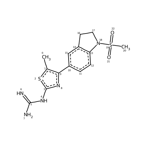 Cc1sc(NC(=N)N)nc1-c1ccc2c(c1)CCN2S(C)(=O)=O